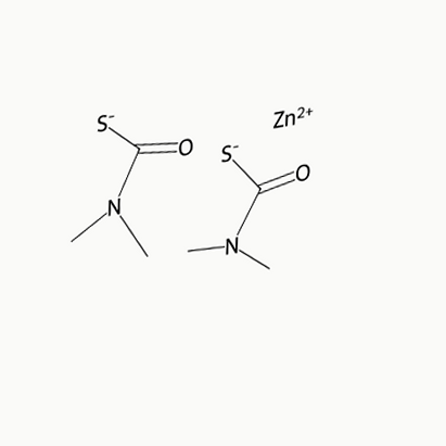 CN(C)C(=O)[S-].CN(C)C(=O)[S-].[Zn+2]